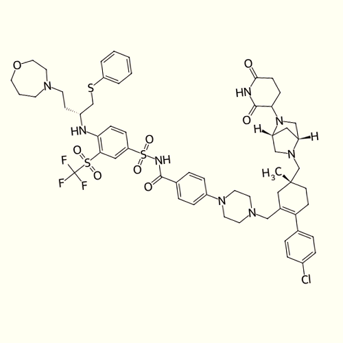 C[C@@]1(CN2C[C@H]3C[C@@H]2CN3C2CCC(=O)NC2=O)CCC(c2ccc(Cl)cc2)=C(CN2CCN(c3ccc(C(=O)NS(=O)(=O)c4ccc(N[C@H](CCN5CCCOCC5)CSc5ccccc5)c(S(=O)(=O)C(F)(F)F)c4)cc3)CC2)C1